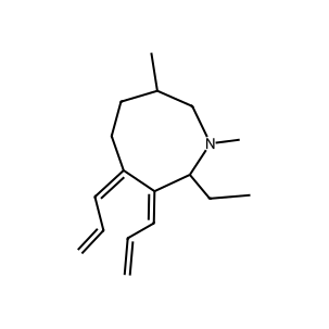 C=C/C=C1/CCC(C)CN(C)C(CC)/C1=C/C=C